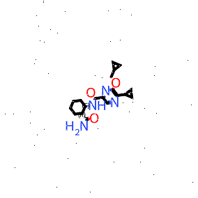 NC(=O)[C@@H]1CCCC[C@@H]1NC(=O)c1cnc(C2CC2)c(OCC2CC2)n1